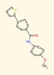 COc1ccc(NC(=O)c2ccc(-c3cccs3)cc2)cc1